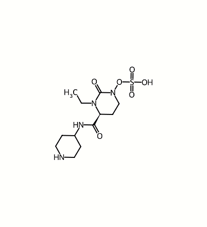 CCN1C(=O)N(OS(=O)(=O)O)CC[C@H]1C(=O)NC1CCNCC1